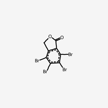 O=C1OCc2c(Br)c(Br)c(Br)c(Br)c21